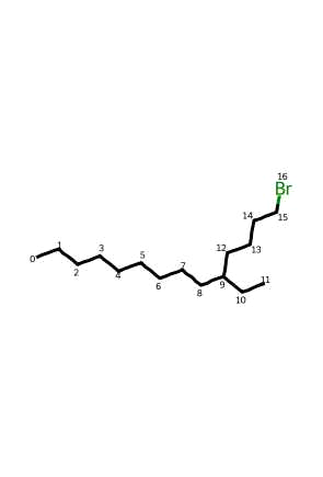 CCCCCCCCCC(CC)CCCCBr